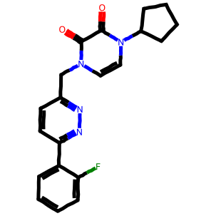 O=c1c(=O)n(C2CCCC2)ccn1Cc1ccc(-c2ccccc2F)nn1